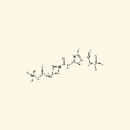 Cc1nc(NC(=O)N2CC(NC(=O)OC(C)(C)C)C2)sc1C(=O)OC(C)(C)C